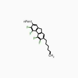 C=CCCCCc1cc2c(c(F)c1F)-c1c(cc(CCCCC)c(F)c1F)C2